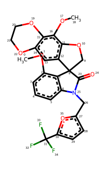 COc1cccc2c1C1(COc3c1cc1c(c3OC)OCCO1)C(=O)N2Cc1ccc(C(F)(F)F)o1